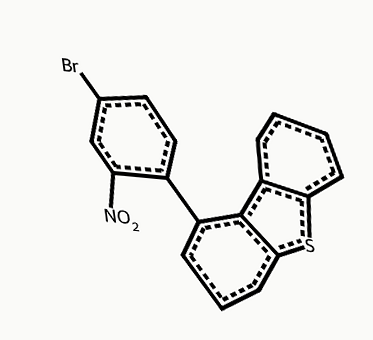 O=[N+]([O-])c1cc(Br)ccc1-c1cccc2sc3ccccc3c12